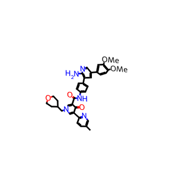 COc1ccc(-c2cnc(N)c(-c3ccc(NC(=O)c4cn(CC5CCOCC5)cc(-c5ccc(C)cn5)c4=O)cc3)c2)cc1OC